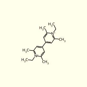 CC[n+]1c(C)cc(-c2cc(C)[n+](CC)c(C)c2)cc1C